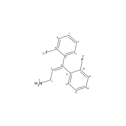 NCC=C(c1ccccc1F)c1ccccc1F